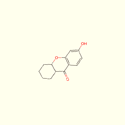 O=C1c2ccc(O)cc2OC2CCCCC12